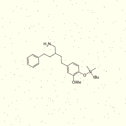 COc1cc(CCC(CN)CCc2ccccc2)ccc1O[Si](C)(C)C(C)(C)C